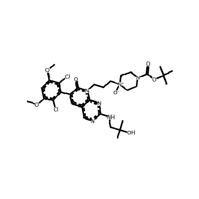 COc1cc(OC)c(Cl)c(-c2cc3cnc(NCC(C)(C)O)nc3n(CCC[N+]3([O-])CCN(C(=O)OC(C)(C)C)CC3)c2=O)c1Cl